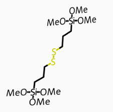 CO[Si](CCCSSCCC[Si](OC)(OC)OC)(OC)OC